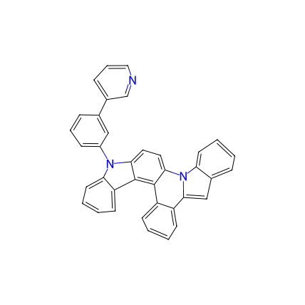 c1cncc(-c2cccc(-n3c4ccccc4c4c5c6ccccc6c6cc7ccccc7n6c5ccc43)c2)c1